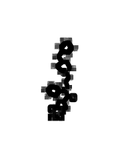 CCCCN1CC(C(=O)N(CCCN2CCC(Cc3ccccc3)CC2)c2ccccc2)CC1=O